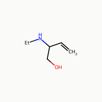 C=CC(CO)NCC